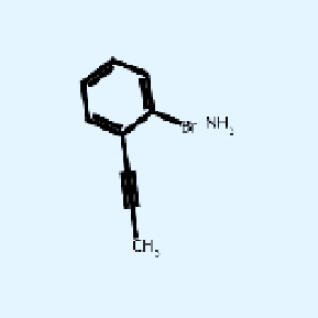 CC#Cc1ccccc1Br.N